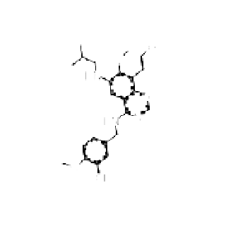 COc1ccc(CNc2ncnc3c(CCO)c(OC)c(NCC(C)C)cc23)cc1Cl